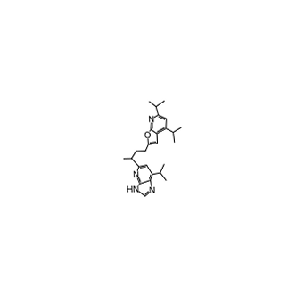 CC(C)c1cc(C(C)C)c2cc(CCC(C)c3cc(C(C)C)c4nc[nH]c4n3)oc2n1